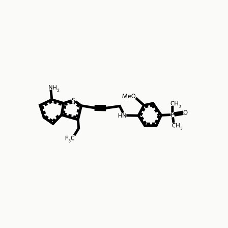 COc1cc(P(C)(C)=O)ccc1NCC#Cc1sc2c(N)cccc2c1CC(F)(F)F